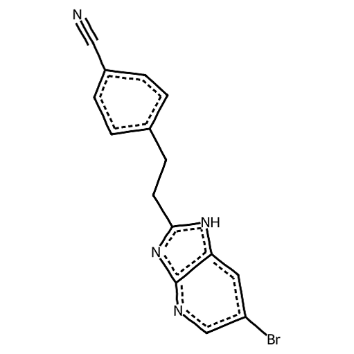 N#Cc1ccc(CCc2nc3ncc(Br)cc3[nH]2)cc1